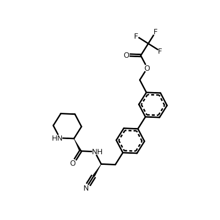 N#C[C@H](Cc1ccc(-c2cccc(COC(=O)C(F)(F)F)c2)cc1)NC(=O)[C@@H]1CCCCN1